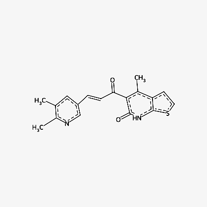 Cc1cc(C=CC(=O)c2c(C)c3ccsc3[nH]c2=O)cnc1C